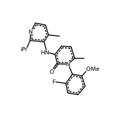 COc1cccc(F)c1-n1c(C)ccc(Nc2c(C)ccnc2C(C)C)c1=O